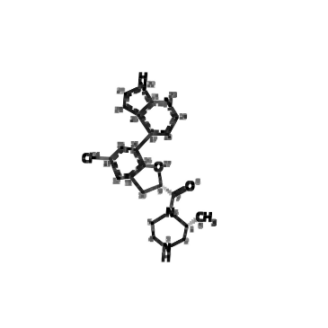 C[C@@H]1CNCCN1C(=O)[C@@H]1Cc2cc(Cl)cc(-c3ccnc4[nH]ccc34)c2O1